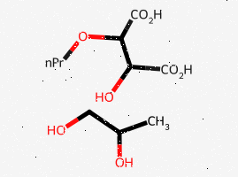 CC(O)CO.CCCOC(C(=O)O)C(O)C(=O)O